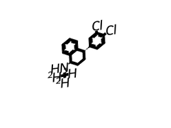 [2H]C([2H])([2H])N[C@H]1CC[C@@H](c2ccc(Cl)c(Cl)c2)c2ccccc21